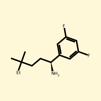 CCC(C)(C)CC[C@H](N)c1cc(F)cc(F)c1